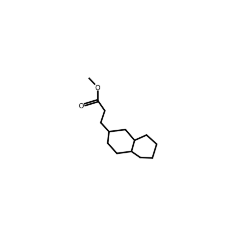 COC(=O)CCC1CCC2CCCCC2C1